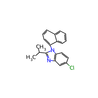 CC(C)c1nc2cc(Cl)ccc2n1-c1cccc2ccccc12